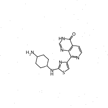 NC1CCC(Nc2nc(-c3nccc4c(=O)[nH]cnc34)cs2)CC1